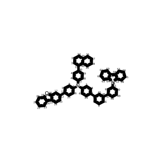 c1cc(-c2ccc(N(c3ccc(-c4ccc5c(c4)oc4ccccc45)cc3)c3ccc(-c4cccc5ccccc45)cc3)cc2)cc(-c2cccc(-n3c4ccccc4c4ccccc43)c2)c1